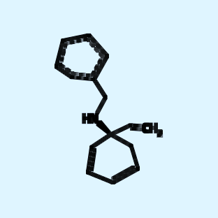 C=C[C@@]1(NCc2ccccc2)C=CC=CC1